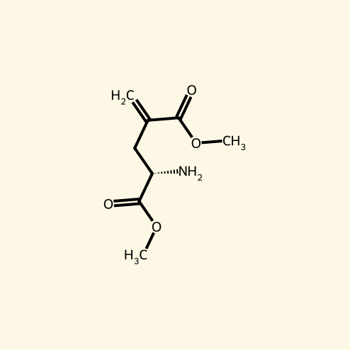 C=C(C[C@H](N)C(=O)OC)C(=O)OC